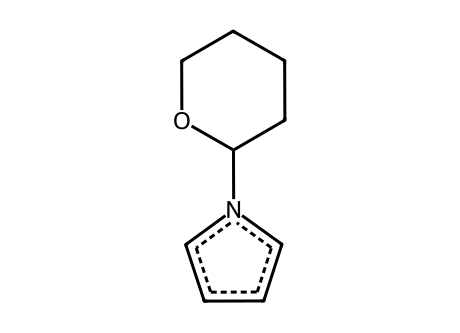 c1ccn(C2CCCCO2)c1